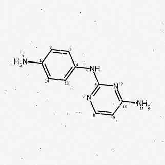 Nc1ccc(Nc2nccc(N)n2)cc1